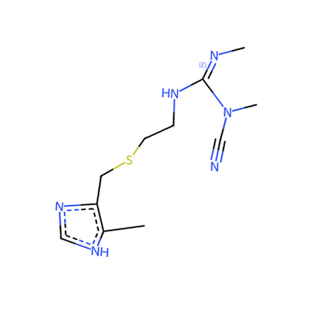 C/N=C(/NCCSCc1nc[nH]c1C)N(C)C#N